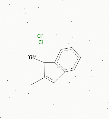 CC1=Cc2ccccc2[CH]1[Ti+2].[Cl-].[Cl-]